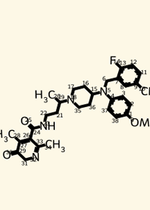 COc1ccc(N(Cc2cc(C#N)ccc2F)C2CCN(C(C)CCNC(=O)C3=C(C)C(=O)CN=C3C)CC2)cc1